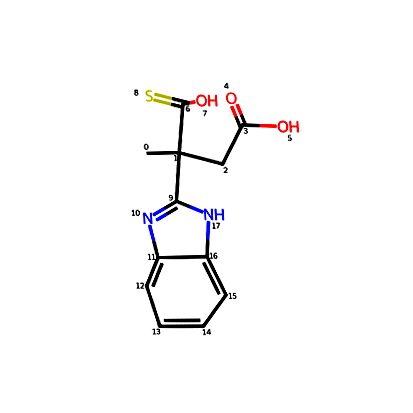 CC(CC(=O)O)(C(O)=S)c1nc2ccccc2[nH]1